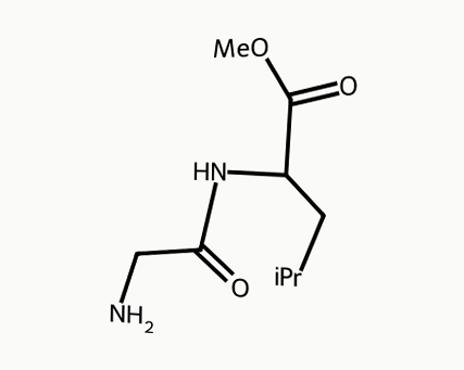 COC(=O)C(CC(C)C)NC(=O)CN